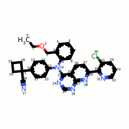 CCOCc1ccccc1N(c1ccc(C2(C#N)CCC2)cc1)c1ncnc2nc(-c3ncccc3Cl)ccc12